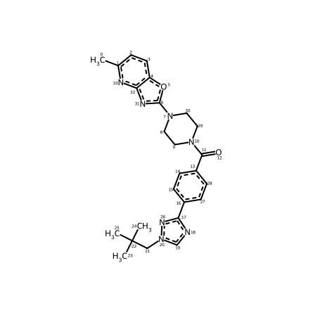 Cc1ccc2oc(N3CCN(C(=O)c4ccc(-c5ncn(CC(C)(C)C)n5)cc4)CC3)nc2n1